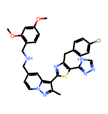 COc1ccc(CNCc2ccn3nc(C)c(-c4nc(Cc5ccc(Cl)cc5)c(-c5nnc[nH]5)s4)c3c2)c(OC)c1